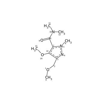 COCc1nn(C)c(C(=O)N(C)C)c1OC